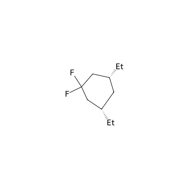 CC[C@@H]1C[C@H](CC)CC(F)(F)C1